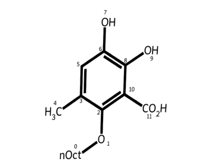 CCCCCCCCOc1c(C)cc(O)c(O)c1C(=O)O